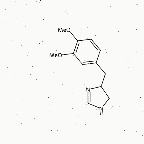 COc1ccc(CC2CNC=N2)cc1OC